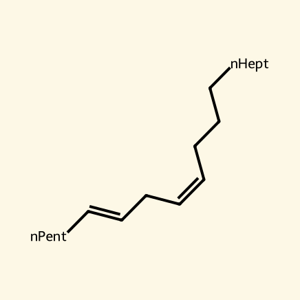 [CH2]CCCCCCCCC/C=C\CC=CCCCCC